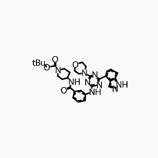 CC(C)(C)OC(=O)N1CCC(NC(=O)c2cccc(Nc3nc(-c4cccc5[nH]ncc45)nc(N4CCOCC4)n3)c2)CC1